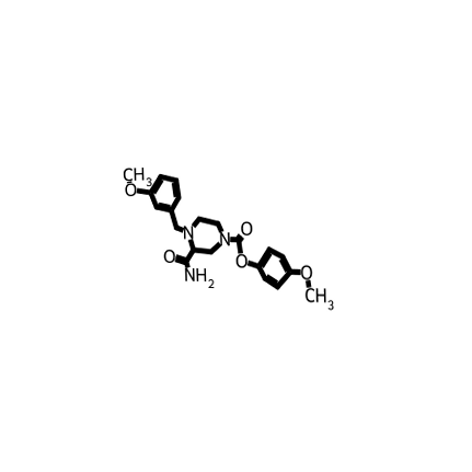 COc1ccc(OC(=O)N2CCN(Cc3cccc(OC)c3)C(C(N)=O)C2)cc1